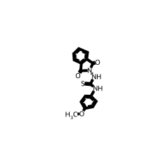 COc1ccc(NC(=S)NN2C(=O)c3ccccc3C2=O)cc1